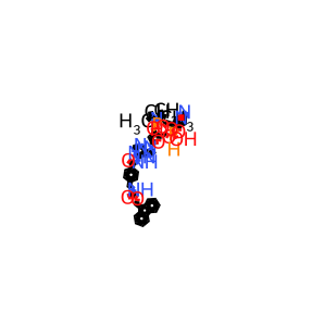 CC(C)N(C(C)C)P(OCCC#N)OC1CC(n2cnc3c(NC(=O)c4ccc(CNC(=O)OCC5c6ccccc6-c6ccccc65)cc4)ncnc32)O[C@@H]1CO[PH](O)(O)OCCC#N